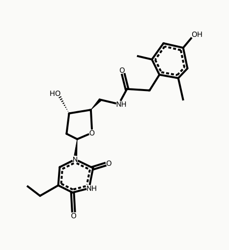 CCc1cn([C@H]2C[C@H](O)[C@@H](CNC(=O)Cc3c(C)cc(O)cc3C)O2)c(=O)[nH]c1=O